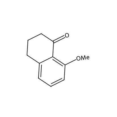 COc1cccc2c1C(=O)CCC2